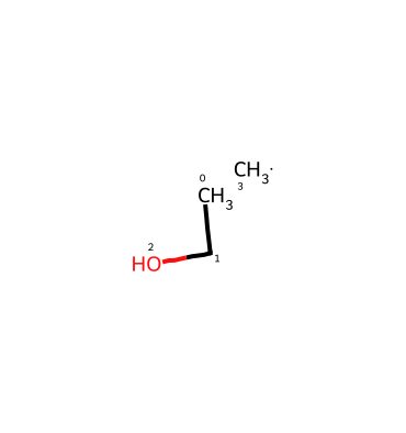 CCO.[CH3]